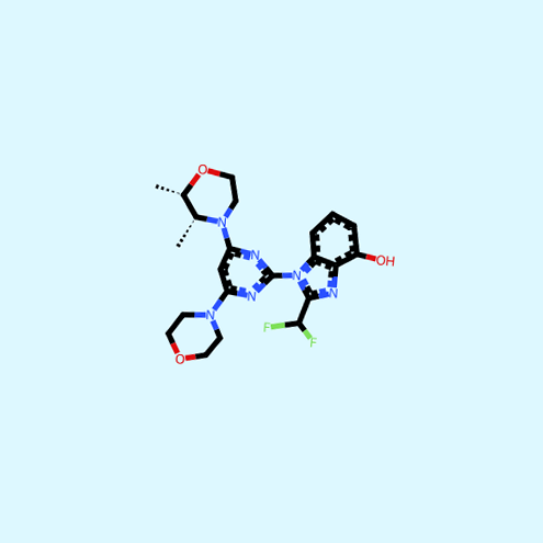 C[C@@H]1OCCN(c2cc(N3CCOCC3)nc(-n3c(C(F)F)nc4c(O)cccc43)n2)[C@@H]1C